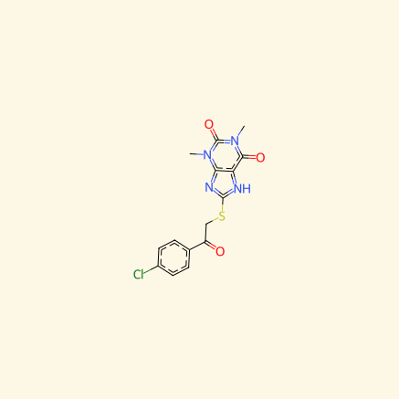 Cn1c(=O)c2[nH]c(SCC(=O)c3ccc(Cl)cc3)nc2n(C)c1=O